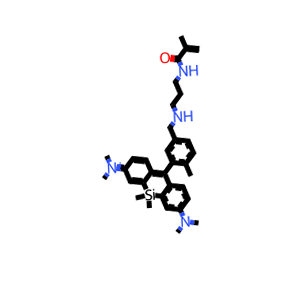 C=C(C)C(=O)NCCCNCc1ccc(C)c(C2=C3C=CC(=[N+](C)C)C=C3[Si](C)(C)c3cc(N(C)C)ccc32)c1